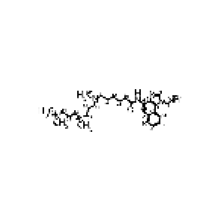 CC(C)Cn1cnc2c(NC(=O)CCCCCN(C)CCCN(C)CCCN(C)C)nc3ccccc3c21